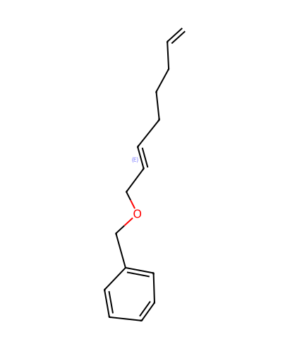 C=CCCC/C=C/COCc1ccccc1